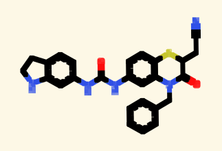 N#CCC1Sc2ccc(NC(=O)Nc3ccc4c(c3)NCC4)cc2N(Cc2ccccc2)C1=O